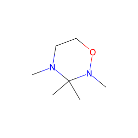 CN1CCON(C)C1(C)C